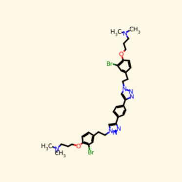 CN(C)CCCOc1ccc(CCn2cc(-c3ccc(-c4cn(CCc5ccc(OCCCN(C)C)c(Br)c5)nn4)cc3)nn2)cc1Br